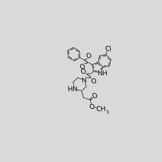 COC(=O)CC1CN(S(=O)(=O)c2[nH]c3ccc(Cl)cc3c2S(=O)(=O)c2ccccc2)CCN1